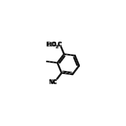 CCOC(=O)c1cccc(C#N)c1C